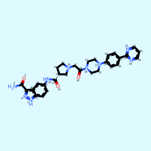 NC(=O)c1n[nH]c2ccc(NC(=O)[C@@H]3CCN(CC(=O)N4CCN(c5ccc(-c6ncccn6)cc5)CC4)C3)cc12